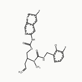 C=CCC(COC(=O)Nc1cc2cc(F)ccc2cn1)N(C)C(=O)NCc1cccc(F)c1Cl